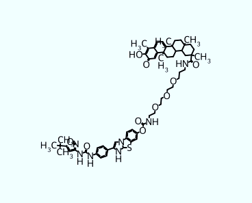 CC1=C(O)C(=O)C=C2C1=CC=C1C2(C)CCC2C3CC(C)(C(=O)NCCCOCCOCCOCCNC(=O)Oc4ccc5c(c4)SC4NC(c6ccc(NC(=O)Nc7cc(C(C)(C)C)on7)cc6)=CN54)CCC3(C)CCC12C